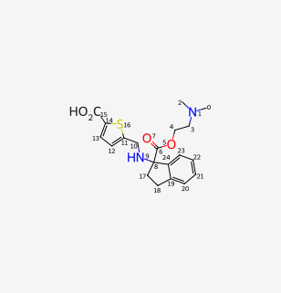 CN(C)CCOC(=O)C1(NCc2ccc(C(=O)O)s2)CCc2ccccc21